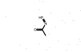 CC(=O)N=P